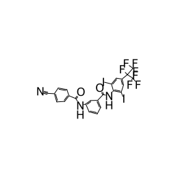 N#Cc1ccc(C(=O)Nc2cccc(C(=O)Nc3c(I)cc(C(F)(C(F)(F)F)C(F)(F)F)cc3I)c2)cc1